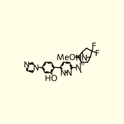 CO[C@H]1C2CC(F)(F)C(C[C@@H]1N(C)c1ccc(-c3ccc(-n4ccnc4)cc3O)nn1)N2